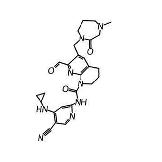 CN1CCCN(Cc2cc3c(nc2C=O)N(C(=O)Nc2cc(NC4CC4)c(C#N)cn2)CCC3)C(=O)C1